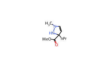 CCCC1(C(=O)OC)C=CN(C)N1